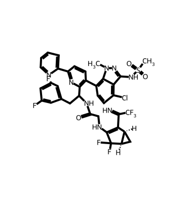 Cn1nc(NS(C)(=O)=O)c2c(Cl)ccc(-c3ccc(-c4ccccn4)nc3C(Cc3cc(F)cc(F)c3)NC(=O)CNC3=C(C(=N)C(F)(F)F)[C@H]4C[C@H]4C3(F)F)c21